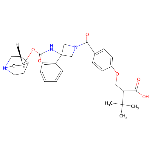 CC(C)(C)C(COc1ccc(C(=O)N2CC(NC(=O)O[C@H]3CN4CCC3CC4)(c3ccccc3)C2)cc1)C(=O)O